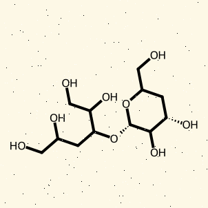 OCC(O)CC(O[C@@H]1OC(CO)C[C@H](O)C1O)C(O)CO